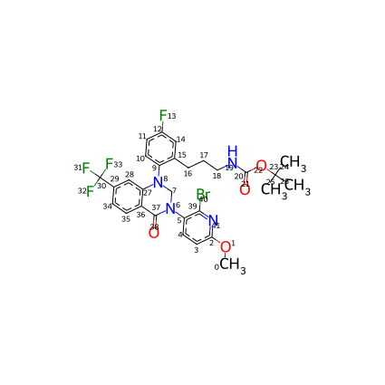 COc1ccc(N2CN(c3ccc(F)cc3CCCNC(=O)OC(C)(C)C)c3cc(C(F)(F)F)ccc3C2=O)c(Br)n1